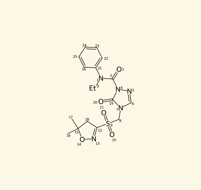 CCN(C(=O)n1ncn(CS(=O)(=O)C2=NOC(C)(C)C2)c1=O)c1ccccc1